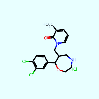 Cl.O=C(O)c1cccn(CC2CNCCOC2c2ccc(Cl)c(Cl)c2)c1=O